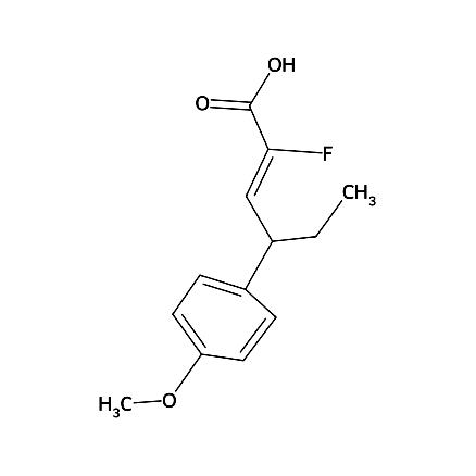 CCC(C=C(F)C(=O)O)c1ccc(OC)cc1